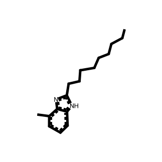 CCCCCCCCCc1nc2c(C)cccc2[nH]1